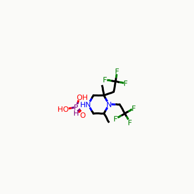 CC1CNCC(C)(CC(F)(F)F)N1CC(F)(F)F.O=[PH](O)O